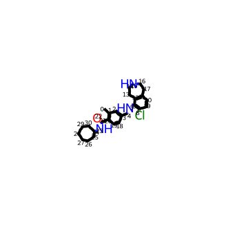 Cc1cc(CNc2c(Cl)ccc3c2CCNCC3)ccc1C(=O)NC1CCCCCC1